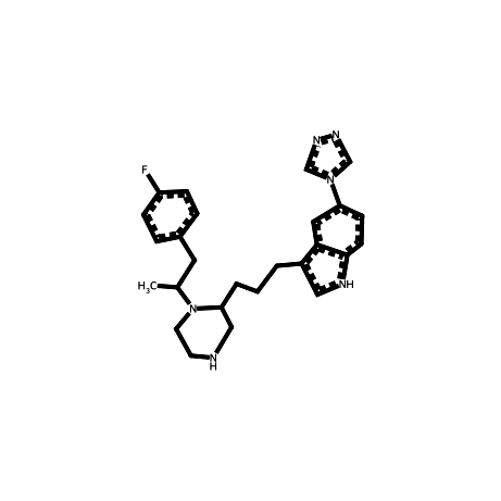 CC(Cc1ccc(F)cc1)N1CCNCC1CCCc1c[nH]c2ccc(-n3cnnc3)cc12